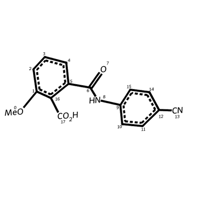 COc1cccc(C(=O)Nc2ccc(C#N)cc2)c1C(=O)O